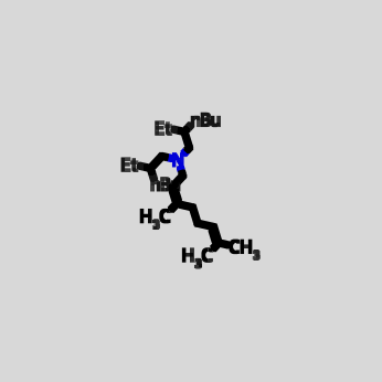 CCCCC(CC)CN(CC=C(C)CCC=C(C)C)CC(CC)CCCC